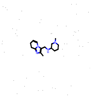 Cc1nc2n(c1CNC1CCCN(C)C1)C=CCC2